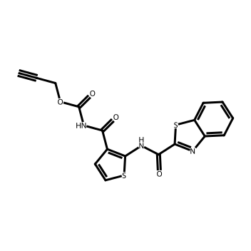 C#CCOC(=O)NC(=O)c1ccsc1NC(=O)c1nc2ccccc2s1